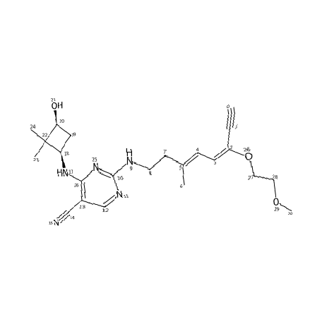 C#C/C(=C\C=C(/C)CCNc1ncc(C#N)c(N[C@@H]2C[C@H](O)C2(C)C)n1)OCCOC